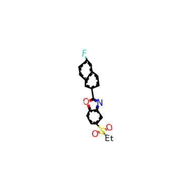 CCS(=O)(=O)c1ccc2oc(-c3ccc4cc(F)ccc4c3)nc2c1